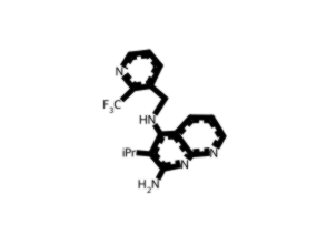 CC(C)c1c(N)nc2ncccc2c1NCc1cccnc1C(F)(F)F